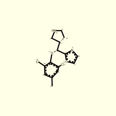 Cc1cc(Cl)c(O[C@@H](c2ncco2)[C@H]2CCNC2)c(Cl)c1